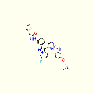 CN(C)CCOc1cccc(Nc2nccc(-c3c(-c4cccc(NC(=O)Cc5cccs5)c4)nn4cc(F)ccc34)n2)c1